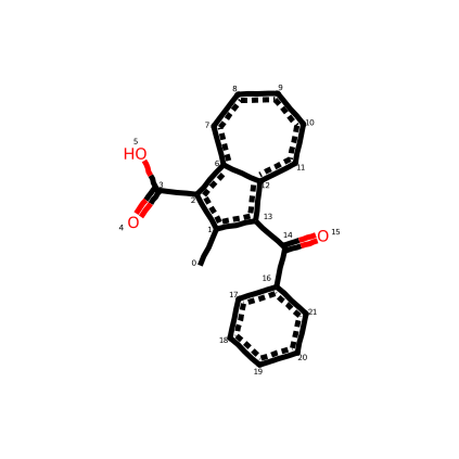 Cc1c(C(=O)O)c2cccccc-2c1C(=O)c1ccccc1